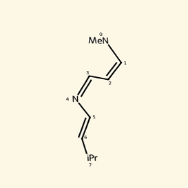 CN\C=C/C=N\C=C\C(C)C